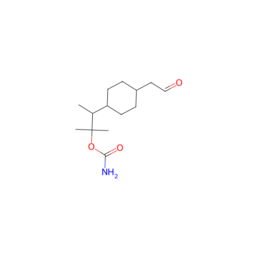 CC(C1CCC(CC=O)CC1)C(C)(C)OC(N)=O